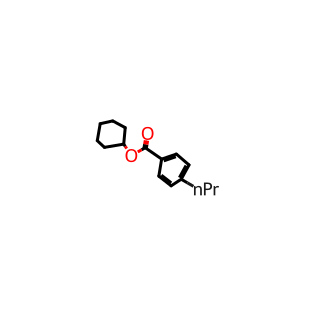 CCCc1ccc(C(=O)OC2CCCCC2)cc1